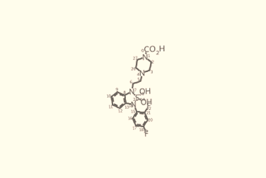 O=C(O)N1CCN(CCN2c3ccccc3N(c3ccc(F)cc3F)S2(O)O)CC1